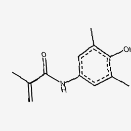 C=C(C)C(=O)Nc1cc(C)c(O)c(C)c1